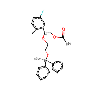 CCCC(=O)OC[C@H](OCCO[Si](c1ccccc1)(c1ccccc1)C(C)(C)C)c1cc(F)ccc1C